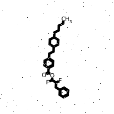 CCCCCC1CCC(CCc2ccc(C(=O)OC(F)C(F)Cc3ccccc3)cc2)CC1